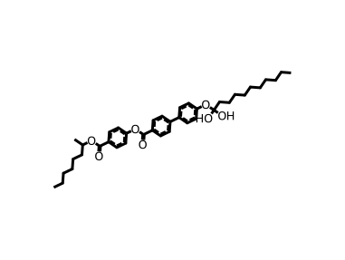 CCCCCCCCCCC(O)(O)Oc1ccc(-c2ccc(C(=O)Oc3ccc(C(=O)OC(C)CCCCCC)cc3)cc2)cc1